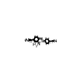 N#Cc1ccc(N=Nc2ccc(C#N)cc2N)cc1